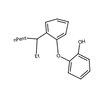 CCCCCC(CC)c1ccccc1Oc1ccccc1O